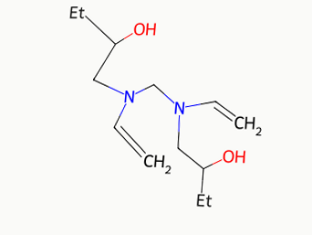 C=CN(CC(O)CC)CN(C=C)CC(O)CC